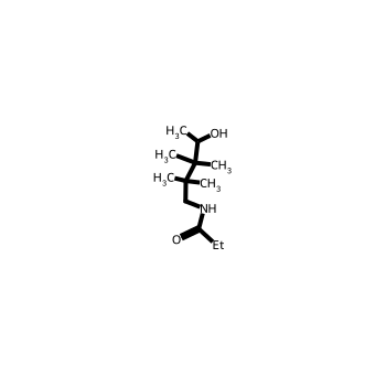 CCC(=O)NCC(C)(C)C(C)(C)C(C)O